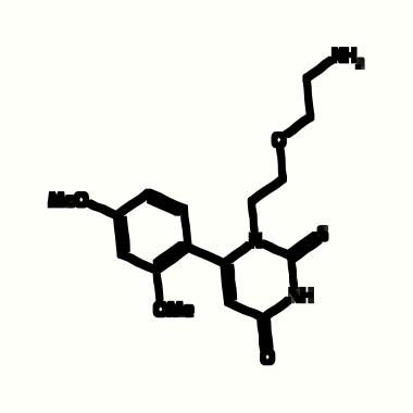 COc1ccc(-c2cc(=O)[nH]c(=S)n2CCOCCN)c(OC)c1